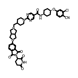 N#Cc1ccc(O[C@H]2CC[C@H](NC(=O)c3cnc(N4CCC(CN5CC6CN(c7ccc8c(c7)C(=O)N(C7CCC(=O)NC7=O)C8=O)CC6C5)CC4)nc3)CC2)cc1Cl